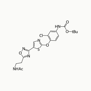 CC(=O)NCCc1nc(-c2cnc(Oc3ccc(NC(=O)OC(C)(C)C)cc3Cl)s2)no1